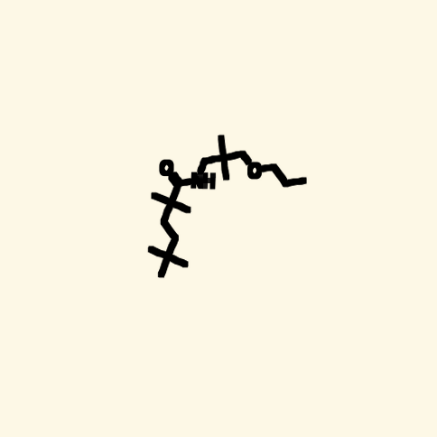 CCCOCC(C)(C)CNC(=O)C(C)(C)CCC(C)(C)C